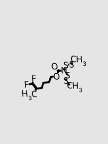 CSSN(SSC)C(=O)OCCCCC(C)=C(F)F